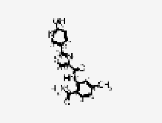 Cc1ccc(C(N)=O)c(NC(=O)c2csc(-c3ccc(O)nc3)n2)c1